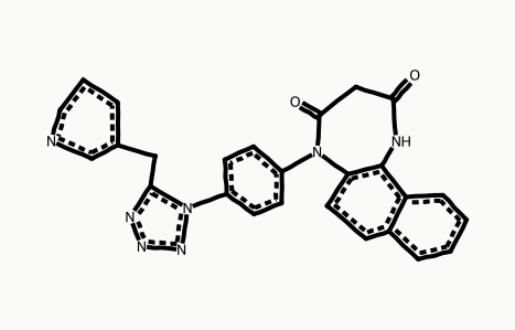 O=C1CC(=O)N(c2ccc(-n3nnnc3Cc3cccnc3)cc2)c2ccc3ccccc3c2N1